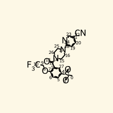 CS(=O)(=O)c1ccc(OCC(F)(F)F)c(C(=O)N2CCN(c3ccc(C#N)cn3)CC2)c1